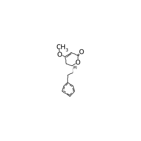 COC1=CC(=O)O[C@H](CCc2ccccc2)C1